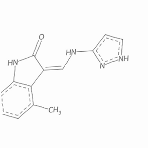 Cc1cccc2c1C(=CNc1cc[nH]n1)C(=O)N2